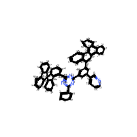 c1ccc(-c2nc(-c3cc(-c4cccnc4)cc(-c4cc5c6ccccc6c6ccccc6c5c5ccccc45)c3)nc(-c3cccc4c3-c3ccccc3C43c4ccccc4-c4ccccc43)n2)cc1